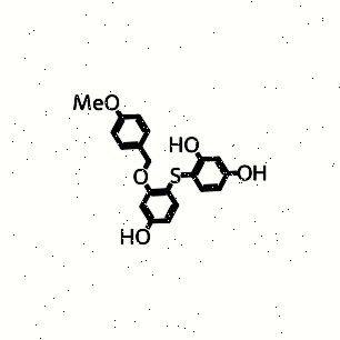 COc1ccc(COc2cc(O)ccc2Sc2ccc(O)cc2O)cc1